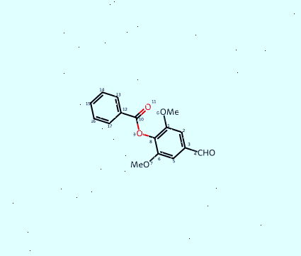 COc1cc(C=O)cc(OC)c1OC(=O)c1ccccc1